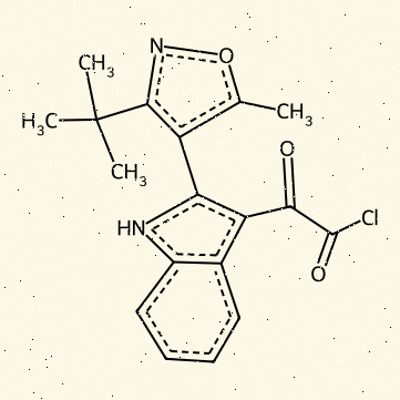 Cc1onc(C(C)(C)C)c1-c1[nH]c2ccccc2c1C(=O)C(=O)Cl